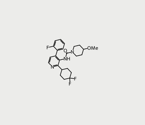 COC1CCN(C(=O)Nc2c(-c3ccccc3F)ccnc2C2CCC(F)(F)CC2)CC1